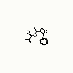 C=C(C)C(=O)OC(C)C1COC1c1ccccc1